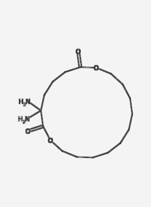 NC1(N)CCCC(=O)OCCCCCCCCCCOC1=O